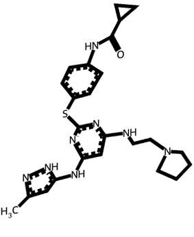 Cc1cc(Nc2cc(NCCN3CCCC3)nc(Sc3ccc(NC(=O)C4CC4)cc3)n2)[nH]n1